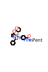 CCCCCNC(=O)c1ccc(N(C)C[C@@H](c2ccccc2)N2CC[C@H](OC3CCCCO3)C2)cc1